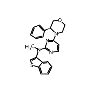 CN(c1nccc(N2CCOC[C@@H]2c2ccccc2)n1)c1csc2ccccc12